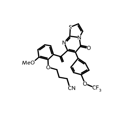 C=C(c1cccc(OC)c1OCCCC#N)c1nc2sccn2c(=O)c1-c1ccc(OC(F)(F)F)cc1